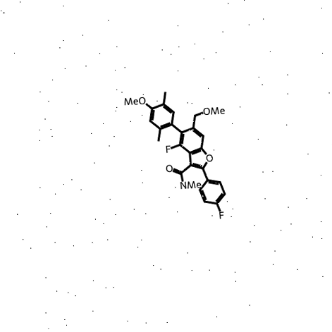 CNC(=O)c1c(-c2ccc(F)cc2)oc2cc(COC)c(-c3cc(C)c(OC)cc3C)c(F)c12